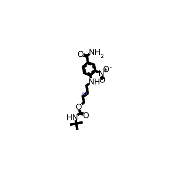 CC(C)(C)NC(=O)OC/C=C/CNc1ccc(C(N)=O)cc1[N+](=O)[O-]